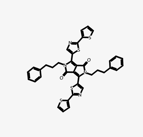 O=C1C2=C(c3cnc(-c4cccs4)s3)N(CCCc3ccccc3)C(=O)C2=C(c2cnc(-c3cccs3)s2)N1CCCc1ccccc1